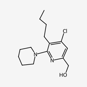 CCCCc1c(Cl)cc(CO)nc1N1CCCCC1